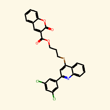 O=C(OCCCSc1cc(-c2cc(Cl)cc(Cl)c2)nc2ccccc12)c1cc2ccccc2oc1=O